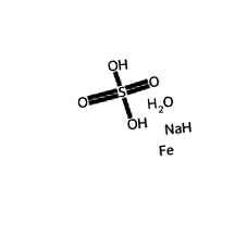 O.O=S(=O)(O)O.[Fe].[NaH]